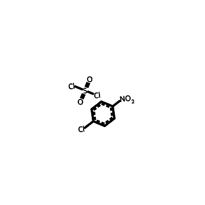 O=S(=O)(Cl)Cl.O=[N+]([O-])c1ccc(Cl)cc1